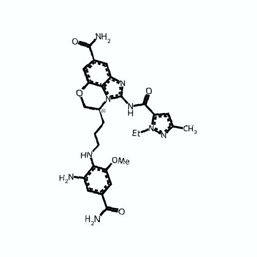 CCn1nc(C)cc1C(=O)Nc1nc2cc(C(N)=O)cc3c2n1[C@@H](CCCNc1c(N)cc(C(N)=O)cc1OC)CO3